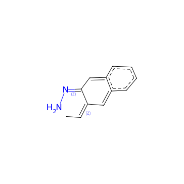 C/C=C1/C=c2ccccc2=C/C1=N/N